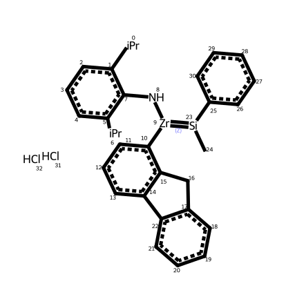 CC(C)c1cccc(C(C)C)c1[NH]/[Zr]([c]1cccc2c1Cc1ccccc1-2)=[Si](/C)c1ccccc1.Cl.Cl